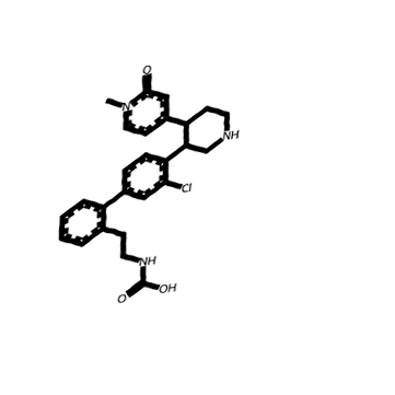 Cn1ccc(C2CCNCC2c2ccc(-c3ccccc3CCNC(=O)O)cc2Cl)cc1=O